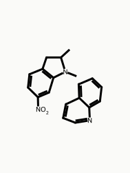 CC1Cc2ccc([N+](=O)[O-])cc2N1C.c1ccc2ncccc2c1